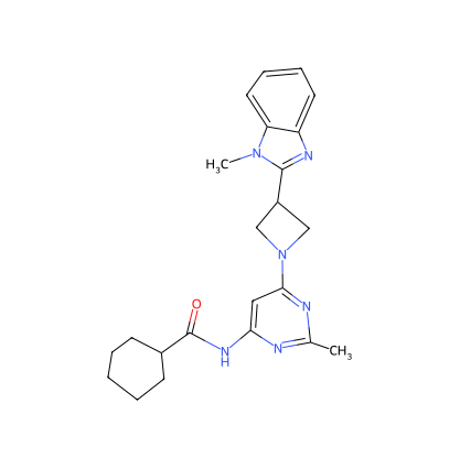 Cc1nc(NC(=O)C2CCCCC2)cc(N2CC(c3nc4ccccc4n3C)C2)n1